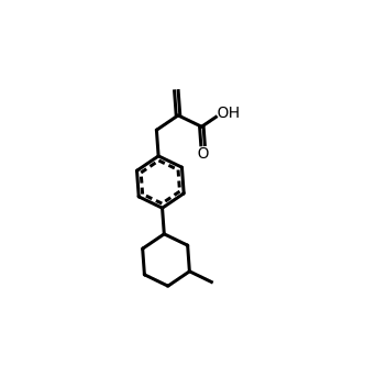 C=C(Cc1ccc(C2CCCC(C)C2)cc1)C(=O)O